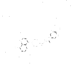 CC[C@@H](NC(=O)c1cnc(C)nc1)[C@H]1CC[C@H](c2ccnc3c(F)cccc32)CC1